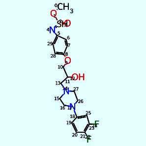 CO[SH](=O)=Nc1ccc(OCC(O)CN2CCN(c3ccc(F)c(F)c3)CC2)cc1